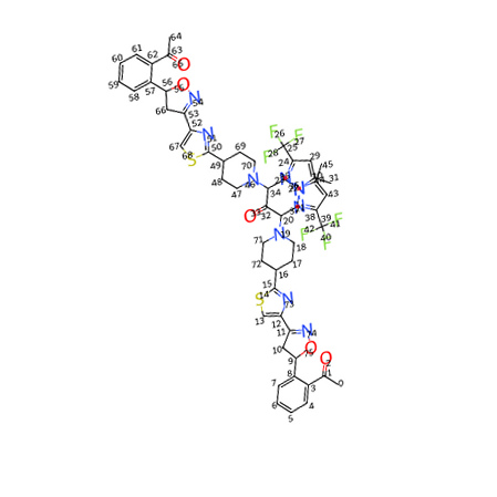 CC(=O)c1ccccc1C1CC(c2csc(C3CCN(C(Cn4nc(C(F)(F)F)cc4C)C(=O)C(Cn4nc(C(F)(F)F)cc4C)N4CCC(c5nc(C6=NOC(c7ccccc7C(C)=O)C6)cs5)CC4)CC3)n2)=NO1